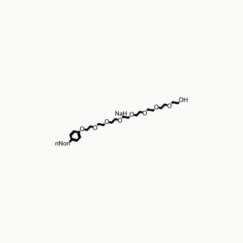 CCCCCCCCCc1ccc(OCCOCCOCCOCCOCCOCCOCCOCCO)cc1.[NaH]